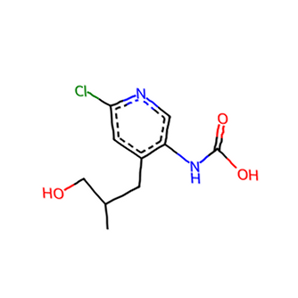 CC(CO)Cc1cc(Cl)ncc1NC(=O)O